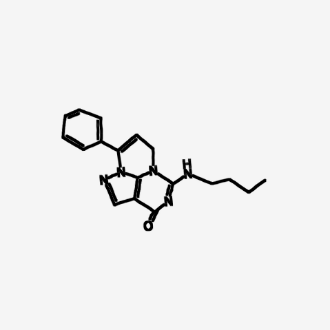 CCCCNc1nc(=O)c2cnn3c2n1CC=C3c1ccccc1